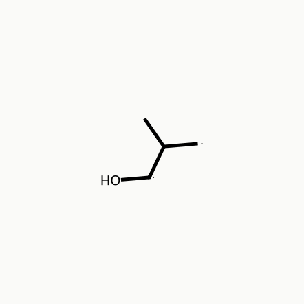 [CH2]C(C)[CH]O